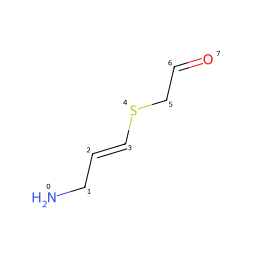 NCC=CSCC=O